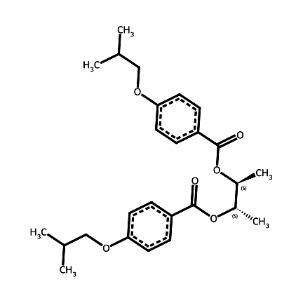 CC(C)COc1ccc(C(=O)O[C@@H](C)[C@H](C)OC(=O)c2ccc(OCC(C)C)cc2)cc1